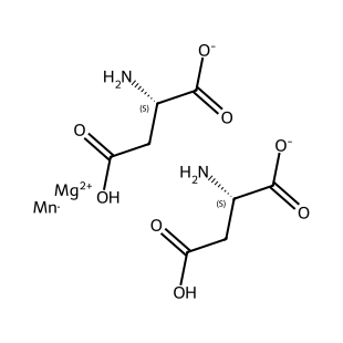 N[C@@H](CC(=O)O)C(=O)[O-].N[C@@H](CC(=O)O)C(=O)[O-].[Mg+2].[Mn]